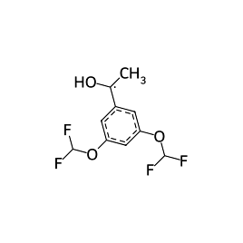 C[C](O)c1cc(OC(F)F)cc(OC(F)F)c1